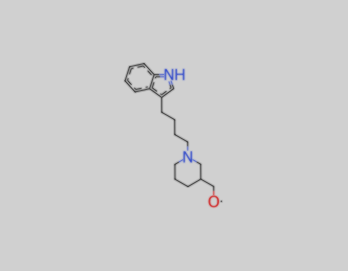 [O]CC1CCCN(CCCCc2c[nH]c3ccccc23)C1